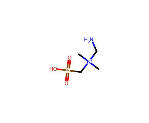 C[N+](C)(CN)CS(=O)(=O)O